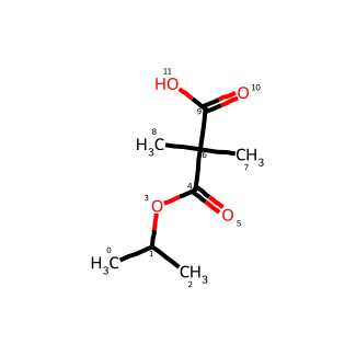 CC(C)OC(=O)C(C)(C)C(=O)O